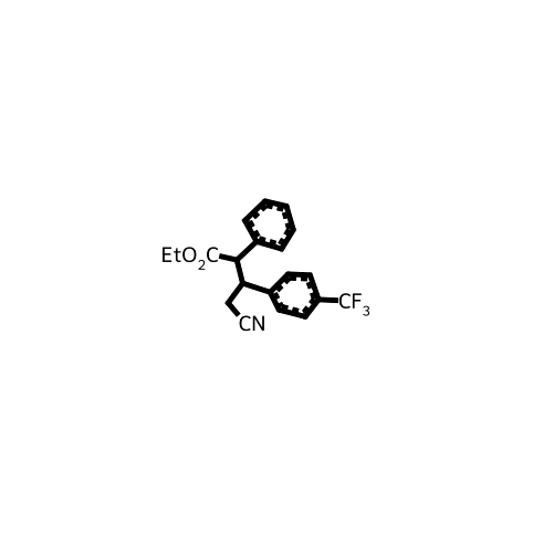 CCOC(=O)C(c1ccccc1)C(CC#N)c1ccc(C(F)(F)F)cc1